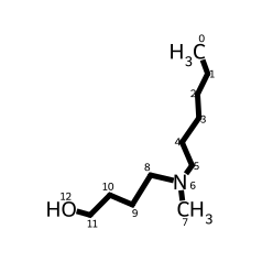 CCCCCCN(C)CCCCO